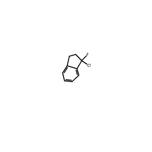 FC1(Cl)CCc2ccccc21